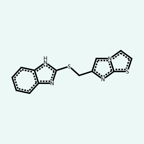 c1ccc2[nH]c(SCc3cn4ccsc4n3)nc2c1